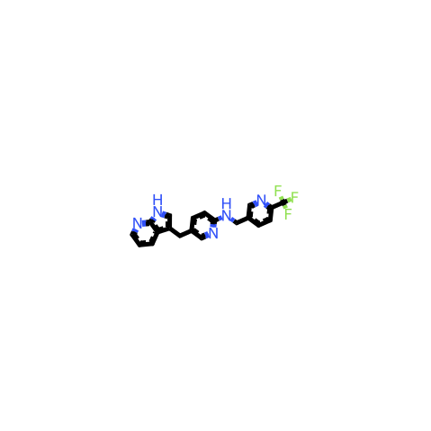 FC(F)(F)c1ccc(CNc2ccc(Cc3c[nH]c4ncccc34)cn2)cn1